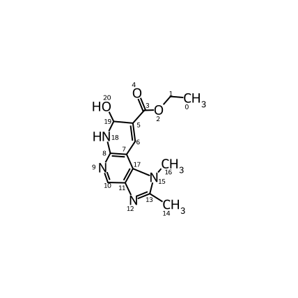 CCOC(=O)C1=Cc2c(ncc3nc(C)n(C)c23)NC1O